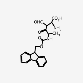 CC(NC(=O)OCC1c2ccccc2-c2ccccc21)C(=O)C(C=O)C(N)C(=O)O